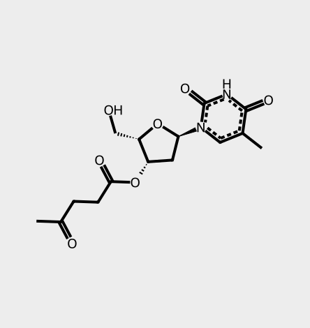 CC(=O)CCC(=O)O[C@H]1C[C@H](n2cc(C)c(=O)[nH]c2=O)O[C@H]1CO